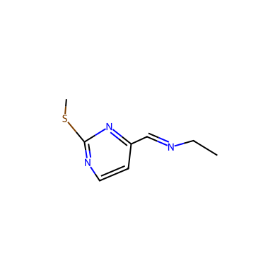 CCN=Cc1ccnc(SC)n1